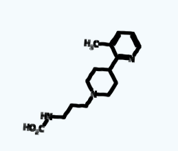 Cc1cccnc1C1CCN(CCCNC(=O)O)CC1